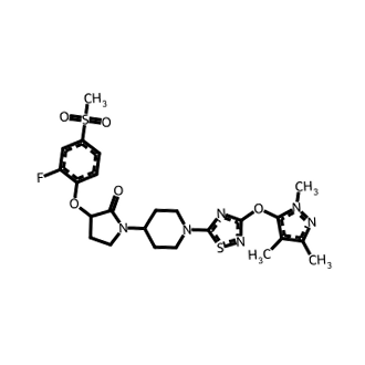 Cc1nn(C)c(Oc2nsc(N3CCC(N4CCC(Oc5ccc(S(C)(=O)=O)cc5F)C4=O)CC3)n2)c1C